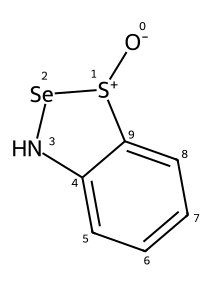 [O-][S+]1[Se]Nc2ccccc21